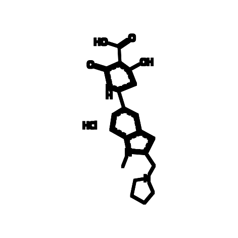 Cl.Cn1c(CN2CCCC2)cc2cc(-c3cc(O)c(C(=O)O)c(=O)[nH]3)ccc21